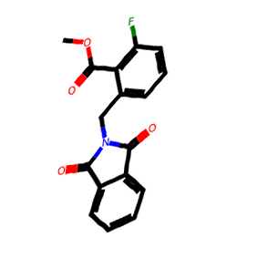 COC(=O)c1c(F)cccc1CN1C(=O)c2ccccc2C1=O